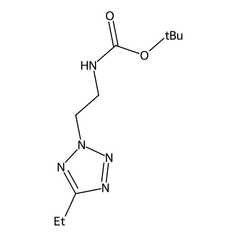 CCc1nnn(CCNC(=O)OC(C)(C)C)n1